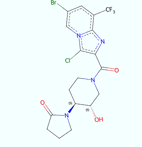 O=C(c1nc2c(C(F)(F)F)cc(Br)cn2c1Cl)N1CC[C@H](N2CCCC2=O)[C@@H](O)C1